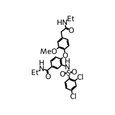 CCNC(=O)Cc1ccc(Oc2ccc(C(=O)NCC)cc2NS(=O)(=O)c2ccc(Cl)cc2Cl)c(OC)c1